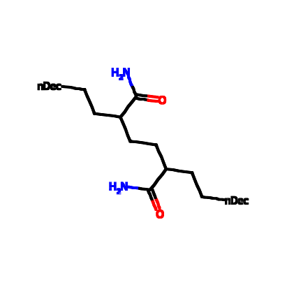 CCCCCCCCCCCCC(CCC(CCCCCCCCCCCC)C(N)=O)C(N)=O